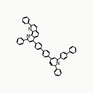 C1#CC(c2ccccc2)N=C(c2ccc(-c3ccccc3)cc2)C=C1c1ccc(-c2ccc(-c3cc(-c4ccccc4)nc4c3ccc3ccc(-c5ccccc5)nc34)cc2)cc1